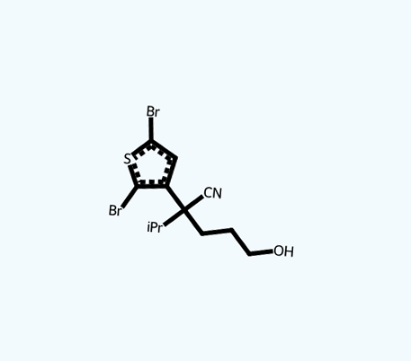 CC(C)C(C#N)(CCCO)c1cc(Br)sc1Br